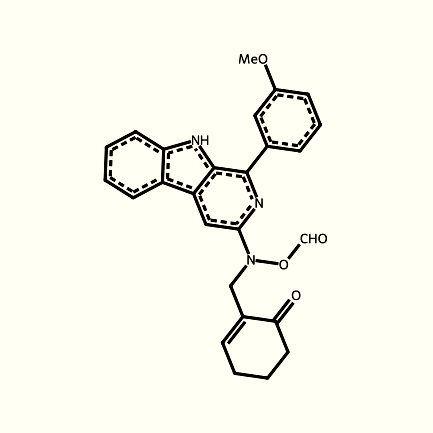 COc1cccc(-c2nc(N(CC3=CCCCC3=O)OC=O)cc3c2[nH]c2ccccc23)c1